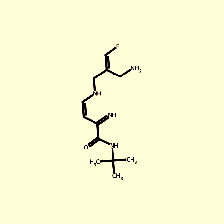 CC(C)(C)NC(=O)C(=N)/C=C\NC/C(=C/F)CN